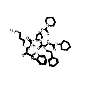 NCCCC[C@H](NC(=O)[C@@H]1C[C@@H](OC(=O)N2CCCCC2)CN1C(=O)[C@@H](CCc1ccccc1)NC(=O)OC1CCCCC1)C(=O)c1nc2ccccc2o1